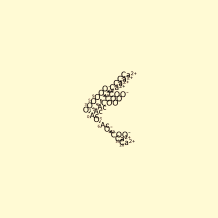 CC(=O)[O-].CC(=O)[O-].CC(=O)[O-].CC(=O)[O-].O=C([O-])[O-].O=C([O-])[O-].O=C([O-])[O-].O=C([O-])[O-].[Ca+2].[Ca+2].[Ca+2].[Ca+2].[Ca+2].[Ca+2]